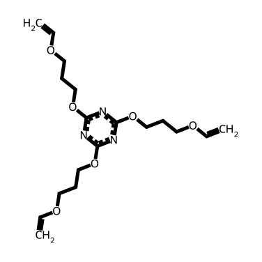 C=COCCCOc1nc(OCCCOC=C)nc(OCCCOC=C)n1